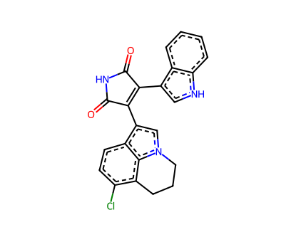 O=C1NC(=O)C(c2cn3c4c(c(Cl)ccc24)CCC3)=C1c1c[nH]c2ccccc12